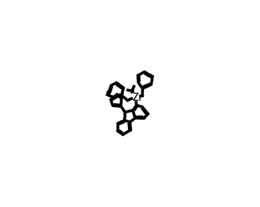 C[C](C)=[Zr]([CH2]c1ccccc1)([CH2]c1ccccc1)[c]1cccc2c1C(C1=CC=CC1)c1ccccc1-2